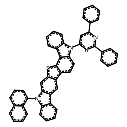 c1ccc(-c2cc(-n3c4ccccc4c4c5sc6cc7c(cc6c5ccc43)c3ccccc3n7-c3cccc4ccccc34)nc(-c3ccccc3)n2)cc1